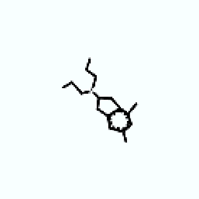 CCCN(CCC)C1Cc2cc(C)cc(C)c2C1